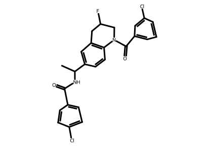 CC(NC(=O)c1ccc(Cl)cc1)c1ccc2c(c1)CC(F)CN2C(=O)c1cccc(Cl)c1